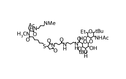 CCC1OC(C(C)(C)C)C(NC(C)=O)C(OC2OC(C(=O)NCCCNC(=O)CCN3C(=O)CC(SCCCCCC(=O)N(C)C(CC(C)=O)C(=O)NCCCNC)C3=O)C(OC(C)(C)C)C(O)C2O)C1O